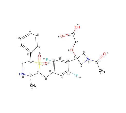 CC(=O)N1CC(OCC(=O)O)(c2cc(F)c(CC3[C@H](C)NC[C@@H](c4ccccc4)S3(=O)=O)cc2F)C1